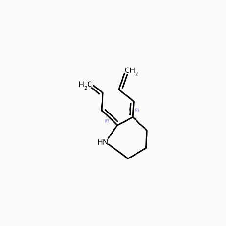 C=C/C=C1/CCCN/C1=C/C=C